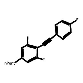 CCCCCc1cc(C)c(C#Cc2ccc(F)cc2)c(F)c1